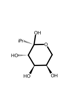 CC(C)[C@]1(O)OC[C@@H](O)[C@@H](O)[C@@H]1O